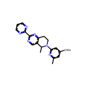 COc1cc(C)nc(N2CCc3nc(-c4ncccn4)ncc3C2C)c1